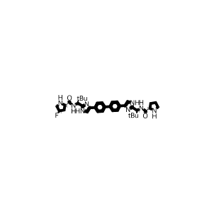 CC(C)(C)[C@H](NC(=O)[C@@H]1CCCN1)c1nc(-c2ccc(-c3ccc(-c4c[nH]c([C@@H](NC(=O)[C@@H]5C[C@@H](F)CN5)C(C)(C)C)n4)cc3)cc2)c[nH]1